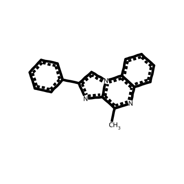 Cc1nc2ccccc2n2cc(-c3ccccc3)nc12